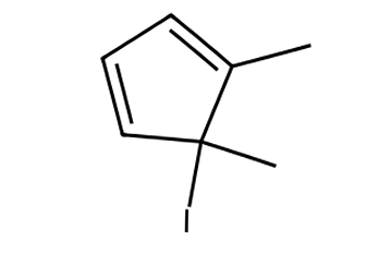 CC1=CC=CC1(C)I